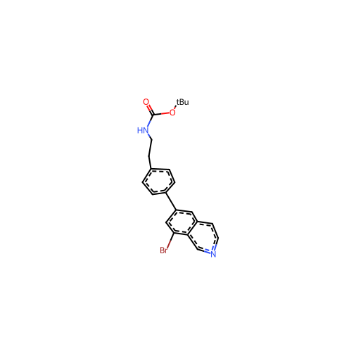 CC(C)(C)OC(=O)NCCc1ccc(-c2cc(Br)c3cnccc3c2)cc1